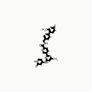 Cc1cc(Nc2cc[nH]c(=O)c2)nc(-c2ccc(C(=O)NCc3ccc(-c4ccc(F)nc4C)nc3)nc2)n1